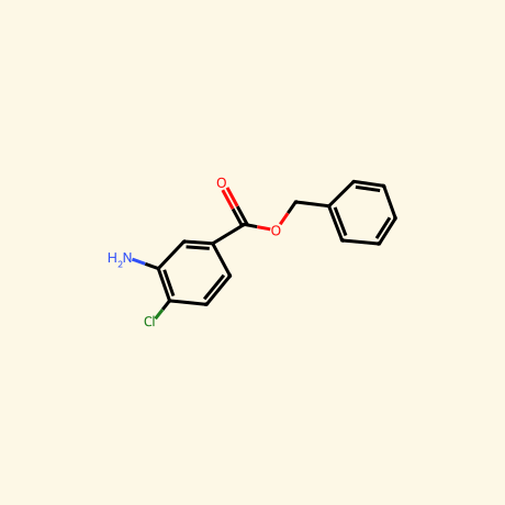 Nc1cc(C(=O)OCc2ccccc2)ccc1Cl